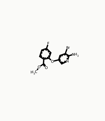 COC(=O)c1ccc(F)cc1Oc1cnc(N)c(Br)c1